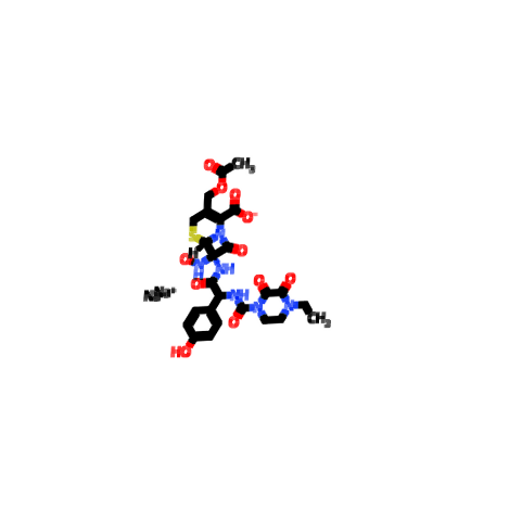 CCN1CCN(C(=O)NC(C(=O)N[C@]2(N[O-])C(=O)N3C(C(=O)[O-])=C(COC(C)=O)CS[C@H]32)c2ccc(O)cc2)C(=O)C1=O.[Na+].[Na+]